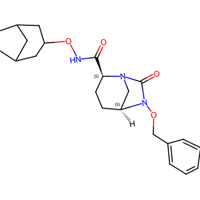 O=C(NOC1CC2CCC(C2)C1)[C@@H]1CC[C@H]2CN1C(=O)N2OCc1ccccc1